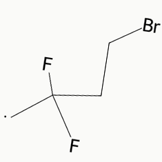 [CH2]C(F)(F)CCBr